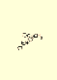 COc1ccc(CNCCc2ccccc2)cc1OC1C=CCCC1